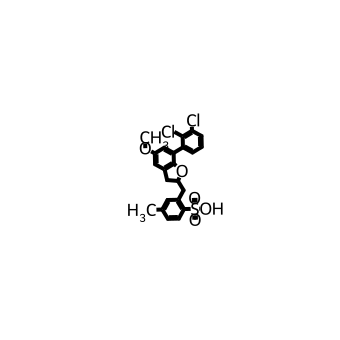 COc1cc2c(c(-c3cccc(Cl)c3Cl)c1)OC(Cc1cc(C)ccc1S(=O)(=O)O)C2